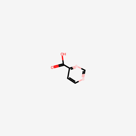 O=C(O)c1bcbcc1